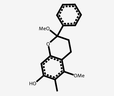 COc1c(C)c(O)cc2c1CCC(OC)(c1ccccc1)O2